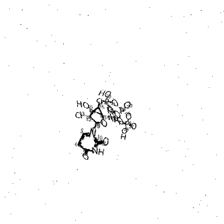 CCC[C@]12O[C@@H](n3ccc(=O)[nH]c3=O)[C@H](Cl)[C@@]1(O)C2OP(=O)(O)OP(=O)(O)OP(=O)(O)O